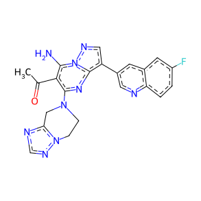 CC(=O)c1c(N2CCn3ncnc3C2)nc2c(-c3cnc4ccc(F)cc4c3)cnn2c1N